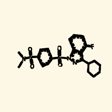 CN(C)S(=O)(=O)c1ccc(S(=O)(=O)n2nc(C3CCCCC3)c3c(F)cccc32)cc1